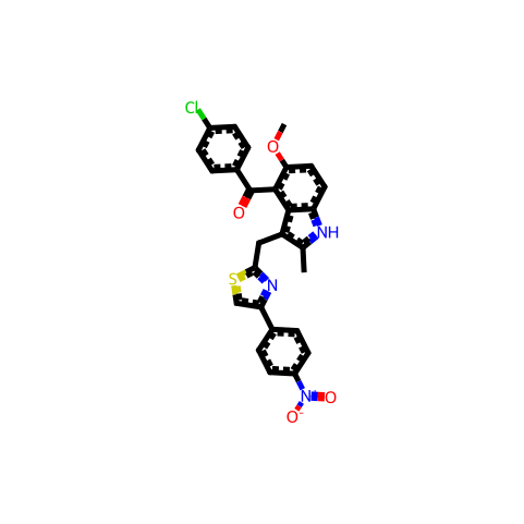 COc1ccc2[nH]c(C)c(Cc3nc(-c4ccc([N+](=O)[O-])cc4)cs3)c2c1C(=O)c1ccc(Cl)cc1